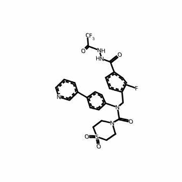 O=C(NNC(=O)C(F)(F)F)c1ccc(CN(C(=O)N2CCS(=O)(=O)CC2)c2ccc(-c3cccnc3)cc2)c(F)c1